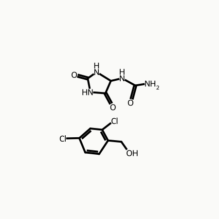 NC(=O)NC1NC(=O)NC1=O.OCc1ccc(Cl)cc1Cl